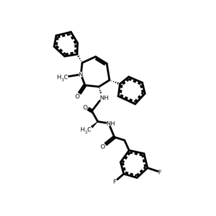 C[C@H](NC(=O)Cc1cc(F)cc(F)c1)C(=O)N[C@@H]1C(=O)N(C)[C@H](c2ccccc2)C=C[C@@H]1c1ccccc1